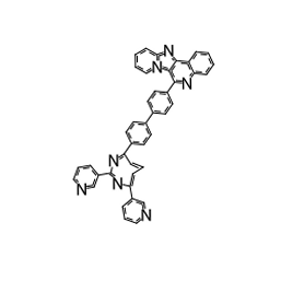 C1=C/C(c2ccc(-c3ccc(-c4nc5ccccc5c5nc6ccccn6c45)cc3)cc2)=N\C(c2cccnc2)=N/C(c2cccnc2)=C/1